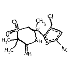 CC(=O)c1cc(Cl)c([C@]2(C)CS(=O)(=O)C(C)(C)C(=N)N2)s1